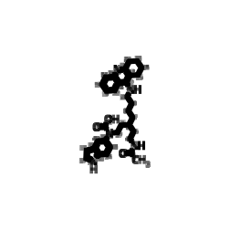 CC(=O)NCCC(CCCCNc1c2c(nc3ccccc13)CCCC2)CCN(C(=O)O)c1ccc2[nH]ccc2c1